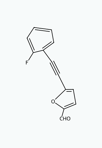 O=Cc1ccc(C#Cc2ccccc2F)o1